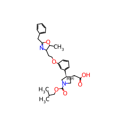 CC(C)COC(=O)N1C[C@H](CC(=O)O)[C@H](c2cccc(OCCC3N=C(Cc4ccccc4)OC3C)c2)C1